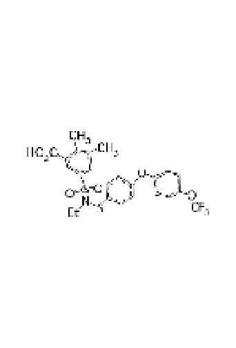 CCN(Sc1ccc(Oc2ccc(OC(F)(F)F)cc2)cc1)S(=O)(=O)c1cc(C)c(C)c(C(=O)O)c1